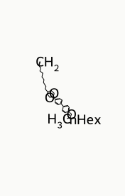 C=CCCCCCCCCC1COC(c2ccc(-c3ccc(OC(C)CCCCCC)cc3)cc2)OC1